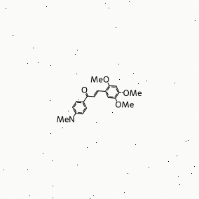 CNc1ccc(C(=O)C=Cc2cc(OC)c(OC)cc2OC)cc1